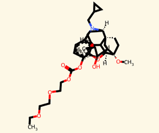 CCOCCOCCOC(=O)Oc1ccc2c3c1O[C@H]1[C@]4(OC)CC[C@@]5(C[C@@H]4[C@](C)(O)C(C)(C)C)[C@@H](C2)N(CC2CC2)CC[C@]315